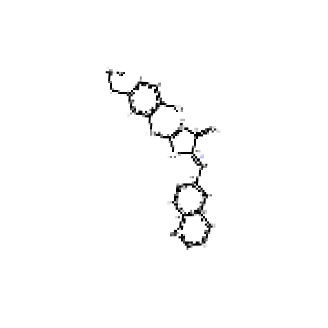 CC(=O)NCc1ccc(Cl)c(NC2=NC(=O)/C(=C/c3ccc4ncccc4c3)S2)c1